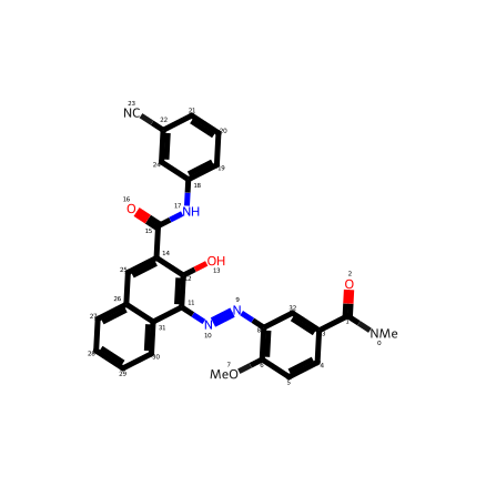 CNC(=O)c1ccc(OC)c(/N=N/c2c(O)c(C(=O)Nc3cccc(C#N)c3)cc3ccccc23)c1